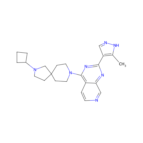 Cc1[nH]ncc1-c1nc(N2CCC3(CC2)CCN(C2CCC2)C3)c2ccncc2n1